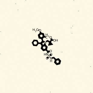 COc1ccc(-c2c(C3CCCCC3)c3ccc(C(=O)NS(=O)(=O)NCc4ccccc4)cc3n2CC2(C(=O)O)CC2)c(C)c1